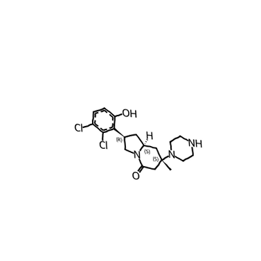 C[C@@]1(N2CCNCC2)CC(=O)N2C[C@@H](c3c(O)ccc(Cl)c3Cl)C[C@H]2C1